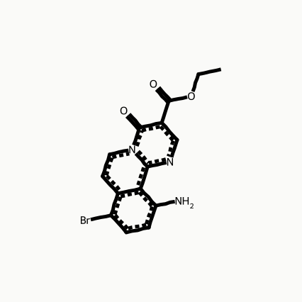 CCOC(=O)c1cnc2c3c(N)ccc(Br)c3ccn2c1=O